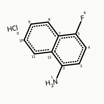 Cl.Nc1ccc(F)c2ccccc12